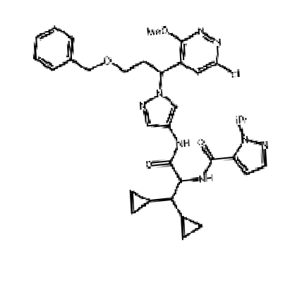 COc1nnc(Cl)cc1C(CCOCc1ccccc1)n1cc(NC(=O)[C@@H](NC(=O)c2ccnn2C(C)C)C(C2CC2)C2CC2)cn1